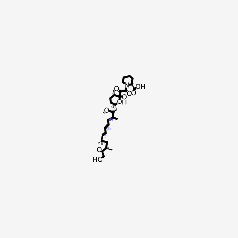 CO[C@@H](C[C@@H]1CC[C@@H](C)[C@](O)(C(=O)C(=O)N2CCCC[C@H]2C(=O)O)O1)/C(C)=C/C=C/C=C/[C@@H](C)C[C@@H](C)C(=O)CO